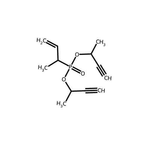 C#CC(C)OP(=O)(OC(C)C#C)C(C)C=C